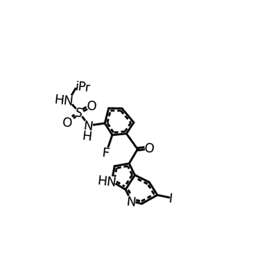 CC(C)NS(=O)(=O)Nc1cccc(C(=O)c2c[nH]c3ncc(I)cc23)c1F